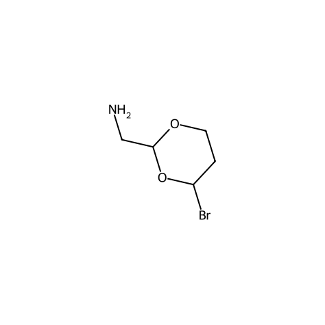 NCC1OCCC(Br)O1